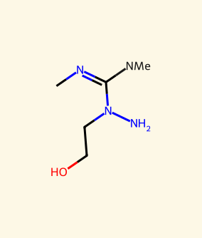 CN=C(NC)N(N)CCO